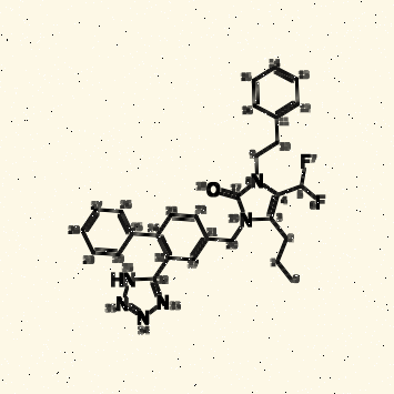 CCCc1c(C(F)F)n(CCc2ccccc2)c(=O)n1Cc1ccc(-c2ccccc2)c(-c2nnn[nH]2)c1